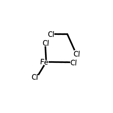 ClCCl.[Cl][Fe]([Cl])[Cl]